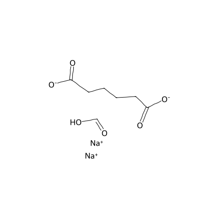 O=C([O-])CCCCC(=O)[O-].O=CO.[Na+].[Na+]